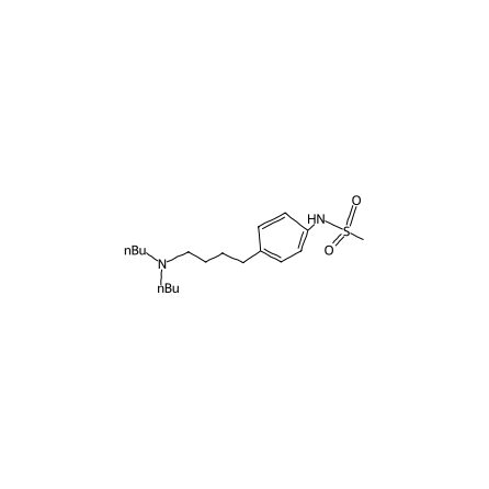 CCCCN(CCCC)CCCCc1ccc(NS(C)(=O)=O)cc1